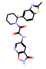 Cc1nc2cc([C@@H]3CCCCN3C(=O)C(=O)Nc3cnc4o[nH]c(=O)c4c3)ccc2s1